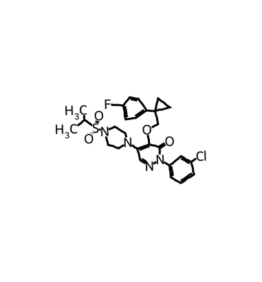 CC(C)S(=O)(=O)N1CCN(c2cnn(-c3cccc(Cl)c3)c(=O)c2OCC2(c3ccc(F)cc3)CC2)CC1